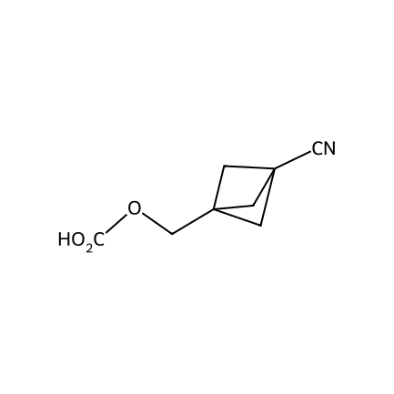 N#CC12CC(COC(=O)O)(C1)C2